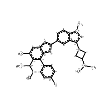 Cc1cc2nc(-c3ccc4c(c3)c(N3CC(N(C)C)C3)nn4C)sc2c(-c2ccc(Cl)cc2)c1C(OC(C)(C)C)C(=O)O